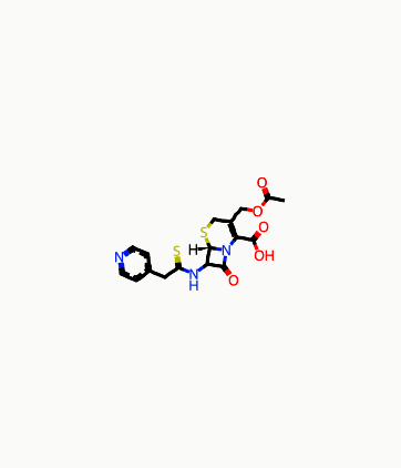 CC(=O)OCC1=C(C(=O)O)N2C(=O)C(NC(=S)Cc3ccncc3)[C@@H]2SC1